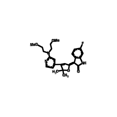 COCCN(CCOC)c1cc(C2=CC(=C3C(=O)Nc4cc(F)ccc43)OC2(C)C)ccn1